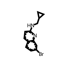 Brc1ccc2ccc(NCC3CC3)nc2c1